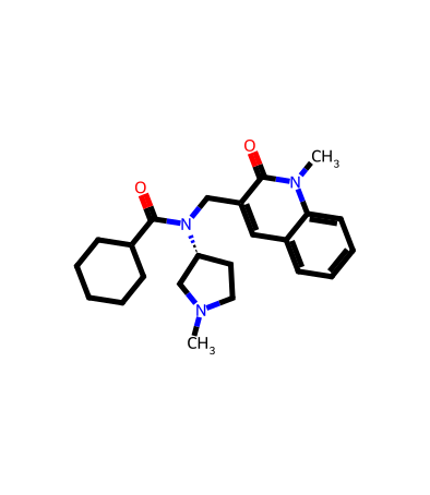 CN1CC[C@@H](N(Cc2cc3ccccc3n(C)c2=O)C(=O)C2CCCCC2)C1